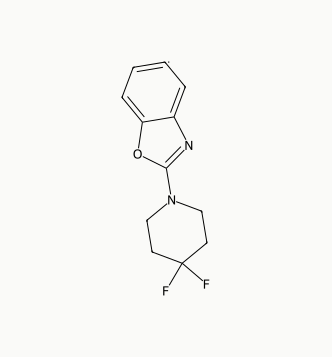 FC1(F)CCN(c2nc3c[c]ccc3o2)CC1